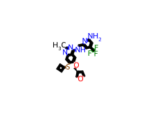 Cc1nc(NCc2cc(C(F)(F)F)cc(N)n2)c2cc(OC[C@H]3CCOC3)c(SC3CCC3)cc2n1